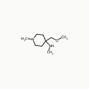 CNC1(COC)CCN(C)CC1